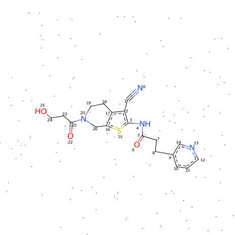 N#Cc1c(NC(=O)CCc2cccnc2)sc2c1CCN(C(=O)CCO)C2